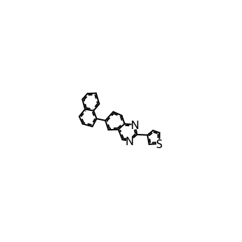 c1ccc2c(-c3ccc4nc(-c5ccsc5)ncc4c3)cccc2c1